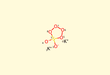 [K+].[K+].[O-]S1([O-])OOOO1